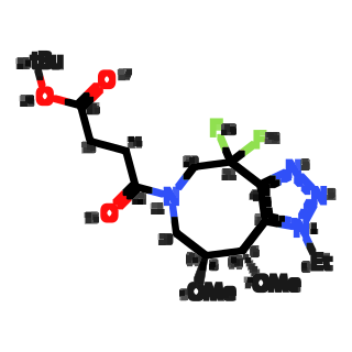 CCn1nnc2c1[C@H](OC)[C@@H](OC)CN(C(=O)CCC(=O)OC(C)(C)C)CC2(F)F